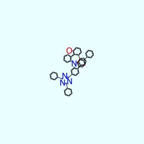 c1ccc(-c2nc(-c3ccccc3)nc(-c3ccc4c5ccccc5n(-c5cccc6oc7cccc(-c8ccccc8-c8ccccc8)c7c56)c4c3)n2)cc1